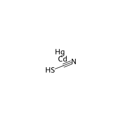 N#CS.[Cd].[Hg]